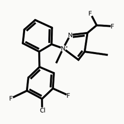 CC1=C[N+](C)(c2ccccc2-c2cc(F)c(Cl)c(F)c2)N=C1C(F)F